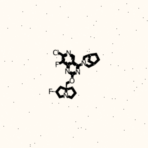 Fc1c(Cl)ncc2c(N3CC4CCC(C4)C3)nc(OC[C@@]34CCCN3C[C@H](F)C4)nc12